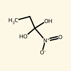 CCC(O)(O)[N+](=O)[O-]